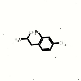 Cc1ccc(CC(C)C)c(Br)c1